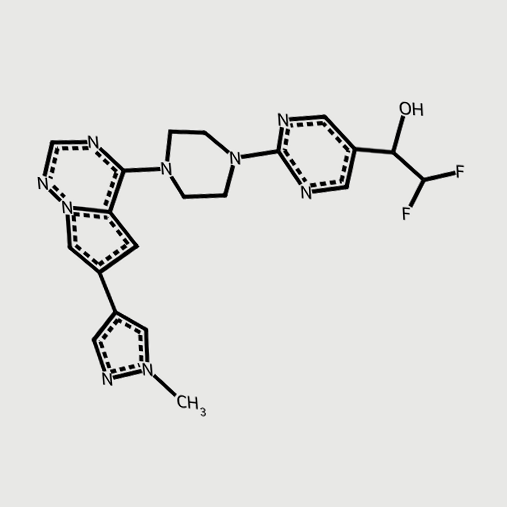 Cn1cc(-c2cc3c(N4CCN(c5ncc(C(O)C(F)F)cn5)CC4)ncnn3c2)cn1